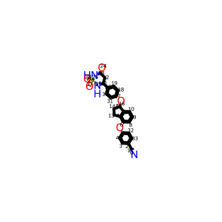 N#Cc1ccc(Oc2cccc3c2CC[C@H]3Oc2ccc(C3CC(=O)NS(=O)(=O)N3)cc2)cc1